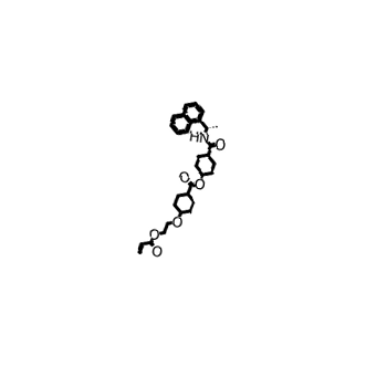 C=CC(=O)OCCOC1CCC(C(=O)OC2CCC(C(=O)N[C@@H](C)c3cccc4ccccc34)CC2)CC1